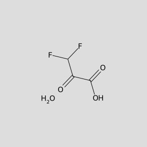 O.O=C(O)C(=O)C(F)F